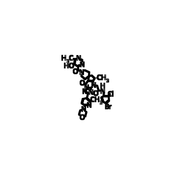 Cc1nc(N2CCOCC2)ccc1-c1nc2n(CC(=O)Nc3ccc(Br)cc3Cl)c3c(c(=O)n2n1)C1(CCN(C(=O)c2ncnc(C)c2O)CC1)C[C@@H]3C